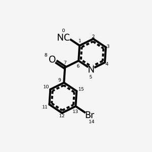 N#Cc1cccnc1C(=O)c1cccc(Br)c1